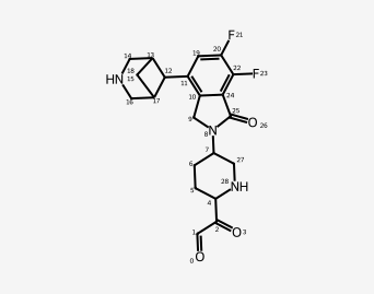 O=CC(=O)C1CCC(N2Cc3c(C4C5CNCC4C5)cc(F)c(F)c3C2=O)CN1